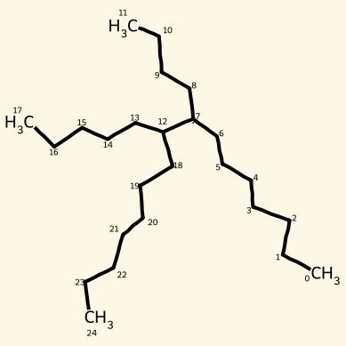 CCCCCCC[C](CCCC)C(CCCCC)CCCCCCC